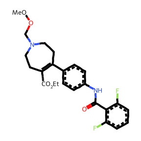 CCOC(=O)C1=C(c2ccc(NC(=O)c3c(F)cccc3F)cc2)CCN(COOC)CC1